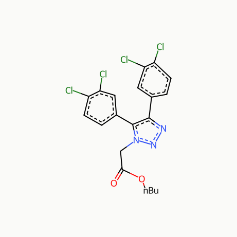 CCCCOC(=O)Cn1nnc(-c2ccc(Cl)c(Cl)c2)c1-c1ccc(Cl)c(Cl)c1